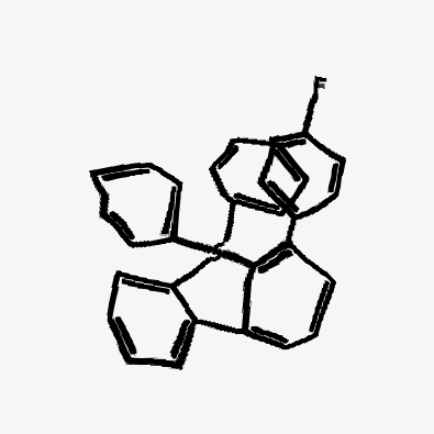 Fc1ccc(-c2cccc3c2S(c2ccccc2)(c2ccccc2)c2ccccc2-3)cc1